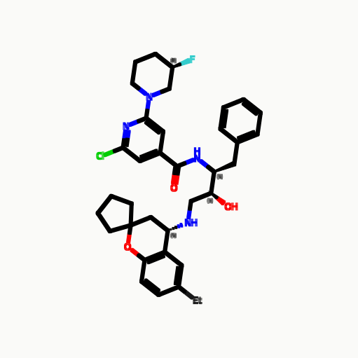 CCc1ccc2c(c1)[C@@H](NC[C@H](O)[C@H](Cc1ccccc1)NC(=O)c1cc(Cl)nc(N3CCC[C@@H](F)C3)c1)CC1(CCCC1)O2